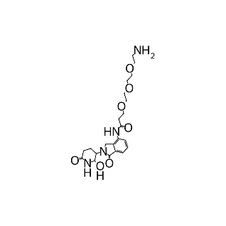 NCCOCCOCCOCCC(=O)Nc1cccc2c1CN(C1CCC(=O)NC1O)C2=O